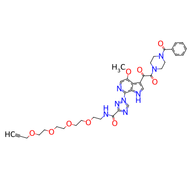 C#CCOCCOCCOCCOCCNC(=O)c1ncn(-c2ncc(OC)c3c(C(=O)C(=O)N4CCN(C(=O)c5ccccc5)CC4)c[nH]c23)n1